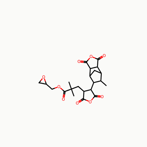 CC1C2CC(C3C(=O)OC(=O)C23)C1C1C(=O)OC(=O)C1CC(C)(C)C(=O)OCC1CO1